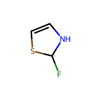 F[C]1NC=CS1